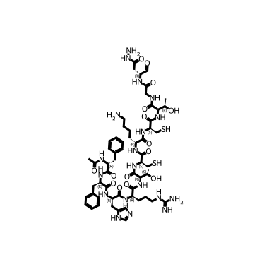 CC(=O)N[C@H](Cc1ccccc1)C(=O)N[C@H](Cc1ccccc1)C(=O)N[C@H](Cc1cnc[nH]1)C(=O)N[C@H](CCCNC(=N)N)C(=O)N[C@@H](C(=O)N[C@H](CS)C(=O)N[C@H](CCCCN)C(=O)N[C@H](CS)C(=O)NC(C(=O)NCC(=O)N[C@@H](C=O)CC(=O)NN)[C@@H](C)O)[C@H](C)O